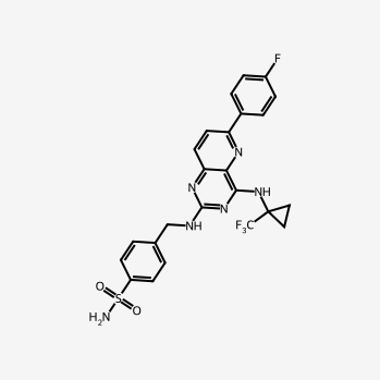 NS(=O)(=O)c1ccc(CNc2nc(NC3(C(F)(F)F)CC3)c3nc(-c4ccc(F)cc4)ccc3n2)cc1